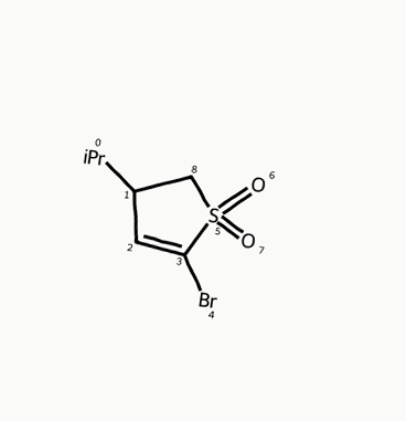 CC(C)C1C=C(Br)S(=O)(=O)C1